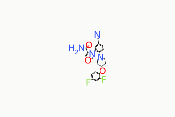 N#Cc1ccc(N2CCC(Oc3ccc(F)cc3F)CC2)c(N2COC=C2C(N)=O)c1